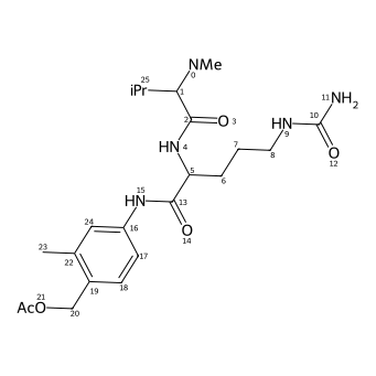 CNC(C(=O)NC(CCCNC(N)=O)C(=O)Nc1ccc(COC(C)=O)c(C)c1)C(C)C